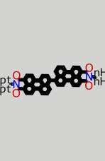 CCCCCCCC(CCCCCCC)N1C(=O)c2ccc3c4cccc5c(-c6ccc7c8ccc9c%10c(ccc(c%11cccc6c%117)c%108)C(=O)N(C(CCCCCCC)CCCCCCC)C9=O)ccc(c6ccc(c2c36)C1=O)c54